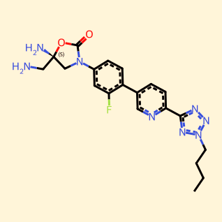 CCCCn1nnc(-c2ccc(-c3ccc(N4C[C@](N)(CN)OC4=O)cc3F)cn2)n1